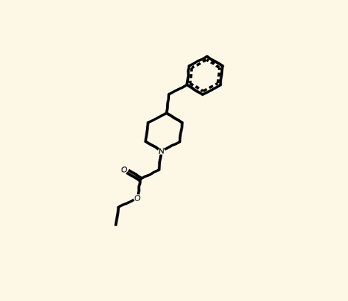 CCOC(=O)CN1CCC(Cc2ccccc2)CC1